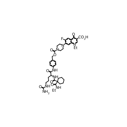 CCNC(=O)C1(C(=O)NC(CCCNC(N)=O)C(=O)Nc2ccc(COC(=O)N3CCN(c4cc5c(cc4F)c(=O)c(C(=O)O)cn5CC)CC3)cc2)CCCCC1